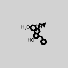 C=C1CC[C@H]2[C@H]3Cc4c(Cc5ccccc5)cc(O)cc4[C@@]2(CCN3CC2CC2)C1